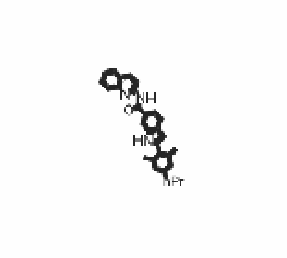 CCCc1cc(C)c(-c2cc3ccc(C(=O)Nc4ccc5ccccc5n4)cc3[nH]2)c(C)c1